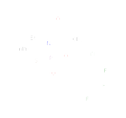 CCCSP(=O)(OC1CC(F)(F)C1(F)Cl)N(CC)C(=O)C(F)(F)F